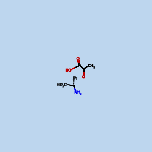 CC(=O)C(=O)O.CC(C)[C@H](N)C(=O)O